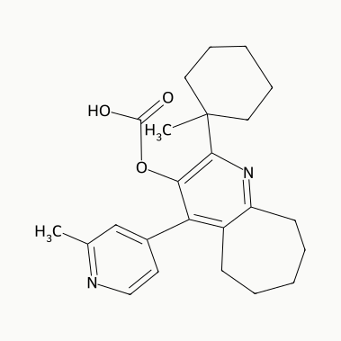 Cc1cc(-c2c3c(nc(C4(C)CCCCC4)c2OC(=O)O)CCCCC3)ccn1